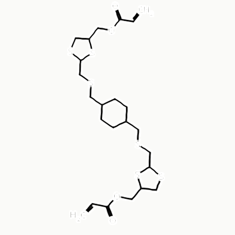 C=CC(=O)OCC1CSC(CSCC2CCC(CSCC3SCC(COC(=O)C=C)S3)CC2)S1